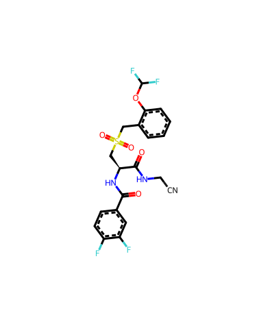 N#CCNC(=O)[C@H](CS(=O)(=O)Cc1ccccc1OC(F)F)NC(=O)c1ccc(F)c(F)c1